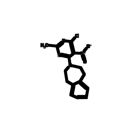 Cc1nc(Cl)c([N+](=O)[O-])c(N2CCc3ccccc3CC2)n1